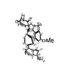 COc1ccc2c(c1)C(=O)N(C[C@@]1(C#Cc3ccc(C(CN)N4CCC(N)C4)cc3)NC(=O)NC1=O)C2